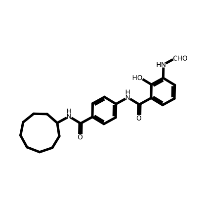 O=CNc1cccc(C(=O)Nc2ccc(C(=O)NC3CCCCCCCC3)cc2)c1O